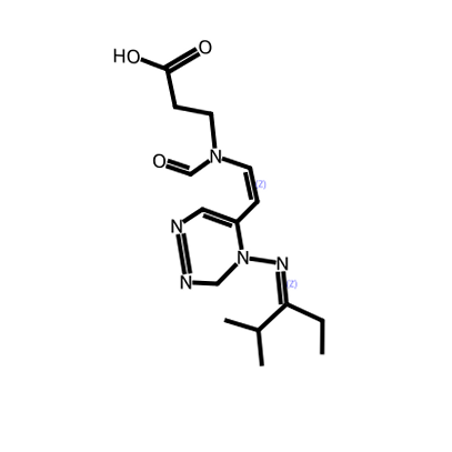 CC/C(=N/N1CN=NC=C1/C=C\N(C=O)CCC(=O)O)C(C)C